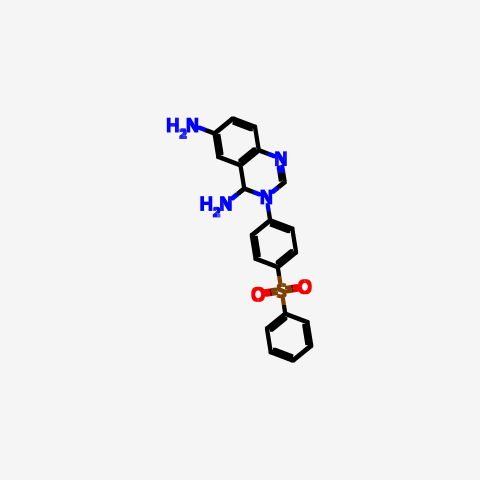 Nc1ccc2c(c1)C(N)N(c1ccc(S(=O)(=O)c3ccccc3)cc1)C=N2